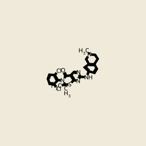 CN1CCc2ccc(Nc3ncc4c(n3)SC(C)(C)N(c3c(Cl)cccc3Cl)C4=O)cc2C1